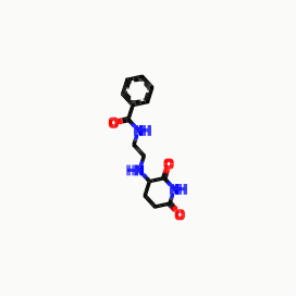 O=C1CCC(NCCNC(=O)c2ccccc2)C(=O)N1